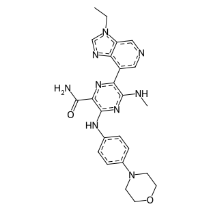 CCn1cnc2c(-c3nc(C(N)=O)c(Nc4ccc(N5CCOCC5)cc4)nc3NC)cncc21